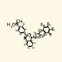 CN(C)c1ccc(N=Nc2ccccc2C(=O)NCC(=O)Oc2c(F)c(F)c(F)c(F)c2F)cc1